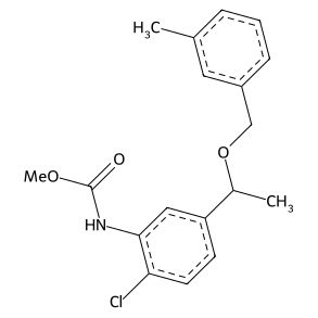 COC(=O)Nc1cc(C(C)OCc2cccc(C)c2)ccc1Cl